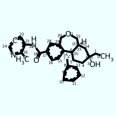 CC[C@@]1(O)CC[C@@]2(Cc3ccccc3)c3ccc(C(=O)Nc4cccnc4C)cc3COC[C@H]2C1